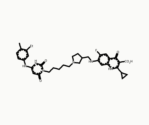 CCc1cc(Nc2cc(=O)n(CCCCCN3CCC(CNc4cc5[nH]c(C6CC6)c(C(=O)O)c(=O)c5cc4F)C3)c(=O)[nH]2)ccc1C